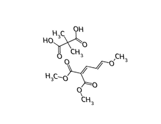 CC(C)(C(=O)O)C(=O)O.COC=CC=C(C(=O)OC)C(=O)OC